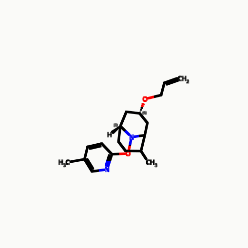 C=CCO[C@@H]1CC2C(C)CC[C@H](C1)N2Oc1ccc(C)cn1